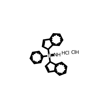 Cl.Cl.[NH]=[Ti]([c]1ccccc1)([CH]1C=Cc2ccccc21)[CH]1C=Cc2ccccc21